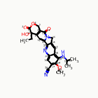 CC[C@@]1(O)C(=O)OCc2c1cc1n(c2=O)Cc2cc3c(NC(C)C)c(OC)c(C#N)cc3nc2-1